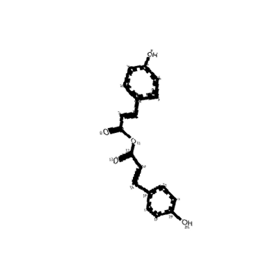 O=C(/C=C/c1ccc(O)cc1)OC(=O)/C=C/c1ccc(O)cc1